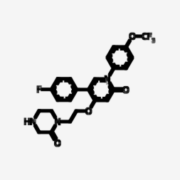 O=C1CNCCN1CCOc1cc(=O)n(-c2ccc(OC(F)(F)F)cc2)cc1-c1ccc(F)cc1